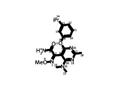 CON=C(C(N)=O)c1c(Oc2cccc(C(C)C)c2)nc(C)nc1N(C)C